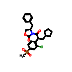 CS(=O)(=O)c1ccc(C(CC2CCCC2)C(=O)N2C(=O)OCC2Cc2ccccc2)c(Cl)c1